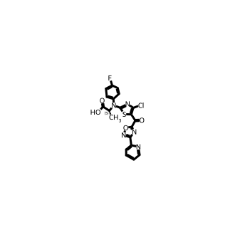 C[C@@H](C(=O)O)N(c1ccc(F)cc1)c1nc(Cl)c(C(=O)c2nc(-c3ccccn3)no2)s1